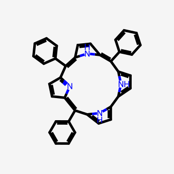 C1=Cc2nc1c(-c1ccccc1)c1ccc([nH]1)c(-c1ccccc1)c1ccc([nH]1)c1ccc([nH]1)c2-c1ccccc1